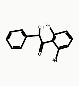 [2H]c1cccc([2H])c1C(=O)C(O)c1ccccc1